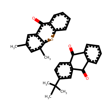 CC(C)(C)c1ccc2c(c1)C(=O)c1ccccc1C2=O.Cc1cc(C)c2sc3ccccc3c(=O)c2c1